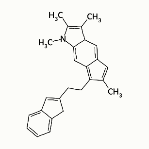 CC1=CC2=CC3C(=CC2=C1CCC1=Cc2ccccc2C1)N(C)C(C)=C3C